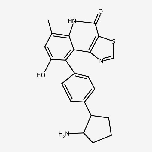 Cc1cc(O)c(-c2ccc(C3CCCC3N)cc2)c2c1[nH]c(=O)c1scnc12